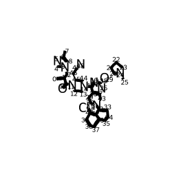 C=C(Cn1cnc(C)c1)C(=O)N1CCN(c2nc(OC[C@@H]3CCCN3C)nc3c2CCN(c2cccc4cccc(Cl)c24)C3)C[C@@H]1CC#N